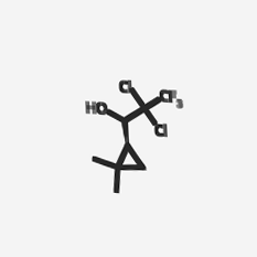 CC1(C)C[C@@H]1C(O)C(Cl)(Cl)C(F)(F)F